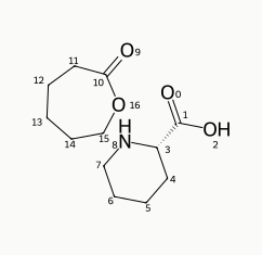 O=C(O)[C@@H]1CCCCN1.O=C1CCCCCO1